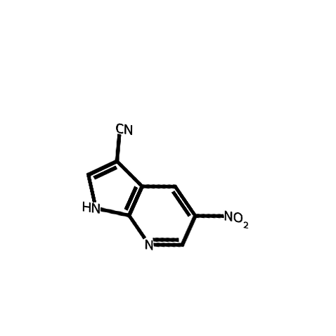 N#Cc1c[nH]c2ncc([N+](=O)[O-])cc12